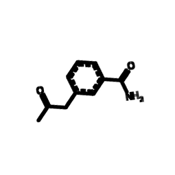 CC(=O)Cc1cccc(C(N)=O)c1